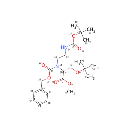 COC(=O)[C@@H](COC(C)(C)C)N(CCNC(=O)OC(C)(C)C)C(=O)OCc1ccccc1